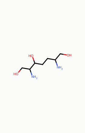 NC(CO)CCC(O)C(N)CO